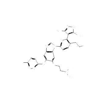 Cc1ccc(Nc2cc3ncn(-c4ccc(CCO)c(-c5c(C#N)n[nH]c5C)n4)c3cc2OCCN(C)C)nn1